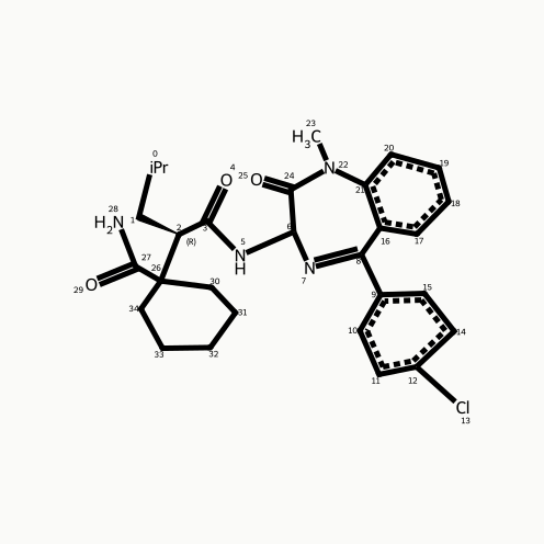 CC(C)C[C@@H](C(=O)NC1N=C(c2ccc(Cl)cc2)c2ccccc2N(C)C1=O)C1(C(N)=O)CCCCC1